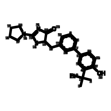 CCC(C)(C)c1cc(-c2cccc(CC3SC(N4CCCC4)=NC3=O)c2)ccc1O